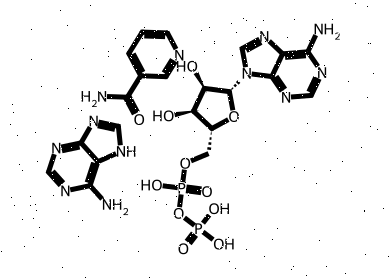 NC(=O)c1cccnc1.Nc1ncnc2c1ncn2[C@@H]1O[C@H](COP(=O)(O)OP(=O)(O)O)[C@@H](O)[C@H]1O.Nc1ncnc2nc[nH]c12